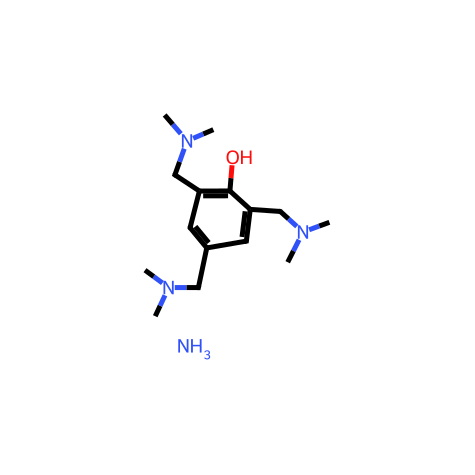 CN(C)Cc1cc(CN(C)C)c(O)c(CN(C)C)c1.N